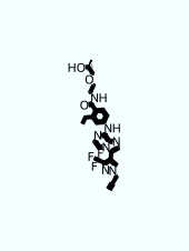 C#CCn1cc(-c2cnc3c(Nc4ccc(C(=O)NCCOC[C@H](C)O)c(CC)c4)nccn23)c(C(F)(F)F)n1